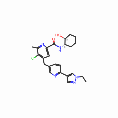 CCn1cc(-c2ccc(Cc3cc(C(=O)N[C@H]4CCCC[C@@H]4O)nc(C)c3Cl)cn2)cn1